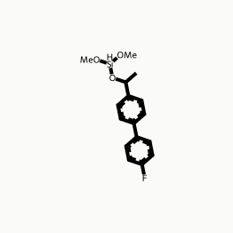 CO[SiH](OC)OC(C)c1ccc(-c2ccc(F)cc2)cc1